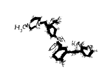 CN1CCN(Cc2ccc(NC(=O)c3ccc(F)c(C#Cc4cccnc4N)c3)cc2C(F)(F)F)CC1